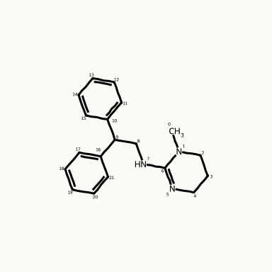 CN1CCCN=C1NCC(c1ccccc1)c1ccccc1